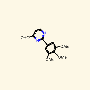 COc1cc(-c2nccc(C=O)n2)cc(OC)c1OC